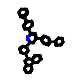 c1ccc(-c2ccc(-c3cc(-c4ccc(-c5ccccc5)cc4)nc(-c4cccc(-c5cc6ccccc6c6ccccc56)c4)c3)cc2)cc1